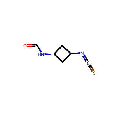 O=CN[C@H]1C[C@@H](N=C=S)C1